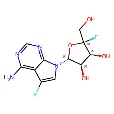 Nc1ncnc2c1c(F)cn2[C@@H]1O[C@](F)(CO)[C@@H](O)[C@H]1O